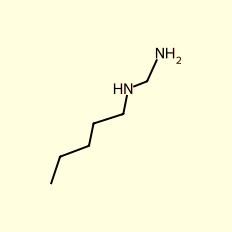 CCCCCNCN